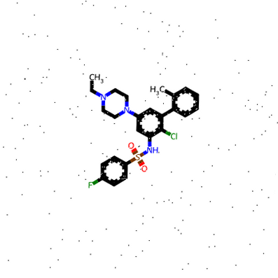 CCN1CCN(c2cc(NS(=O)(=O)c3ccc(F)cc3)c(Cl)c(-c3ccccc3C)c2)CC1